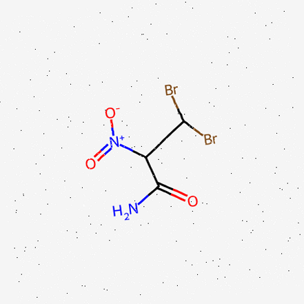 NC(=O)C(C(Br)Br)[N+](=O)[O-]